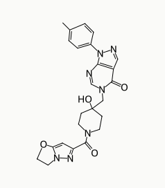 Cc1ccc(-n2ncc3c(=O)n(CC4(O)CCN(C(=O)c5cc6n(n5)CCO6)CC4)cnc32)cc1